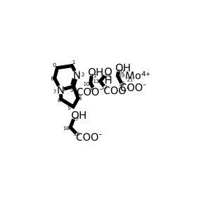 C1CN=C2CCCN2C1.O=C([O-])CO.O=C([O-])CO.O=C([O-])CO.O=C([O-])CO.[Mo+4]